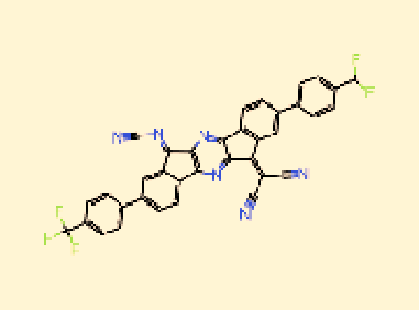 N#C/N=C1\c2cc(-c3ccc(C(F)(F)F)cc3)ccc2-c2nc3c(nc21)-c1ccc(-c2ccc(C(F)F)cc2)cc1C3=C(C#N)C#N